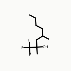 CCCCC(C)CC(C)(O)C(F)(F)F